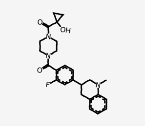 CN1CC(c2ccc(C(=O)N3CCN(C(=O)C4(O)CC4)CC3)c(F)c2)Cc2ccccc21